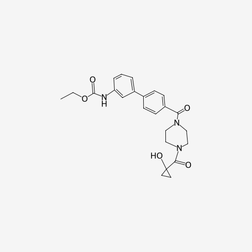 CCOC(=O)Nc1cccc(-c2ccc(C(=O)N3CCN(C(=O)C4(O)CC4)CC3)cc2)c1